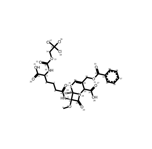 CO[C@@]1(NC(=O)CCCC(NC(=O)OCC(Cl)(Cl)Cl)C(=O)O)C(=O)N2C(C(=O)O)C(COC(=O)c3ccccc3)=CS[C@H]21